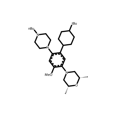 CCCCN1CCN(c2cc(OC)c(N3C[C@@H](C)O[C@@H](C)C3)cc2C2CCC(C(C)(C)C)CC2)CC1